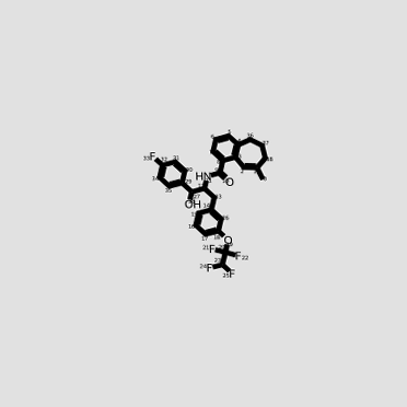 CC1=Cc2c(cccc2C(=O)NC(Cc2cccc(OC(F)(F)C(F)F)c2)C(O)c2ccc(F)cc2)CCC1